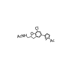 CC(=O)NCC1Cc2cc(-c3ccc(C(C)=O)s3)cc(Cl)c2O1